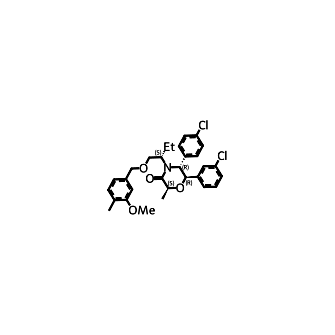 CC[C@@H](COCc1ccc(C)c(OC)c1)N1C(=O)[C@H](C)O[C@H](c2cccc(Cl)c2)[C@H]1c1ccc(Cl)cc1